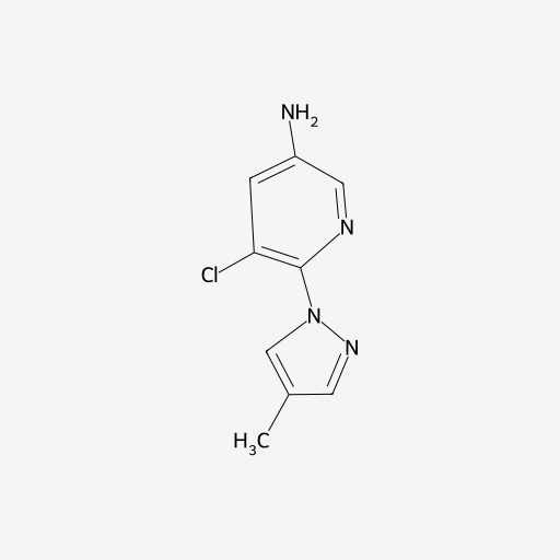 Cc1cnn(-c2ncc(N)cc2Cl)c1